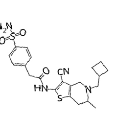 CC1Cc2sc(NC(=O)Cc3ccc(S(N)(=O)=O)cc3)c(C#N)c2CN1CC1CCC1